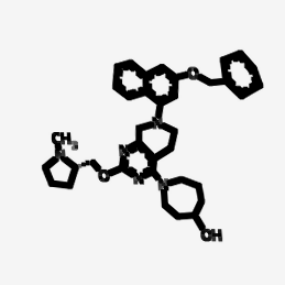 CN1CCC[C@H]1COc1nc2c(c(N3CCCC(O)CC3)n1)CCN(c1cc(OCc3ccccc3)cc3ccccc13)C2